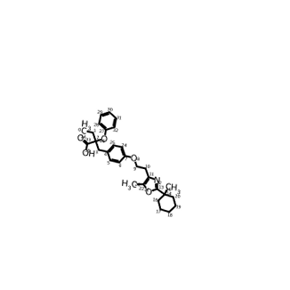 CCC(Cc1ccc(OCCc2nc(C3(C)CCCCC3)oc2C)cc1)(Oc1ccccc1)C(=O)O